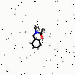 CCC(=O)N(C)CC1CCCCC1